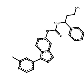 Cc1cc(-n2ncc3cc(NC(=O)NC(CCO)c4ccccc4)ncc32)ccn1